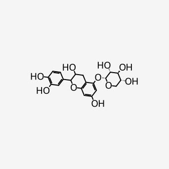 Oc1cc2c(c(O[C@H]3OC[C@@H](O)[C@H](O)[C@H]3O)c1)CC(O)C(c1ccc(O)c(O)c1)O2